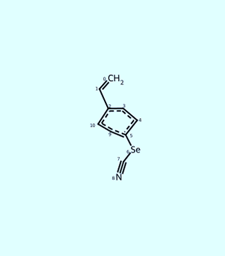 C=Cc1ccc([Se]C#N)cc1